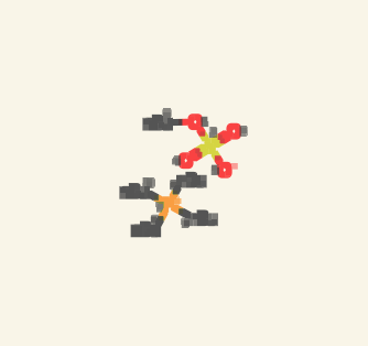 CCCCOS(=O)(=O)[O-].CCCC[P+](CCCC)(CCCC)CCCC